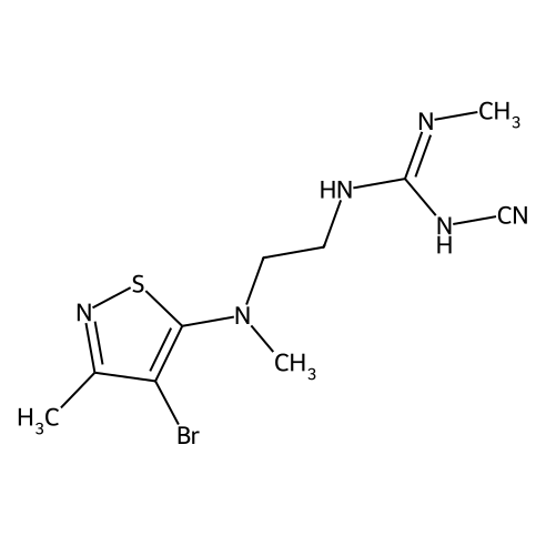 CN=C(NC#N)NCCN(C)c1snc(C)c1Br